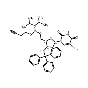 Cc1cn([C@H]2C[C@@H](NC(c3ccccc3)(c3ccccc3)c3ccccc3)[C@@H](COP(OCCC#N)N(C(C)C)C(C)C)O2)c(=O)[nH]c1=O